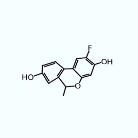 CC1Oc2cc(O)c(F)cc2-c2ccc(O)cc21